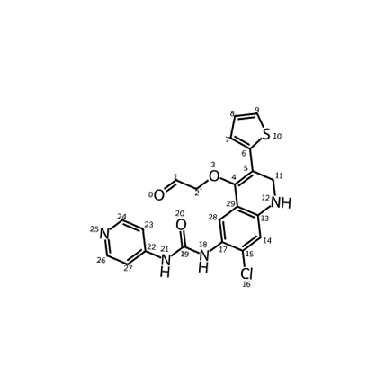 O=C[CH]OC1=C(c2cccs2)CNc2cc(Cl)c(NC(=O)Nc3ccncc3)cc21